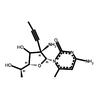 CC#C[C@@]1(N)C(O)[C@@H]([C@@H](C)O)O[C@H]1n1c(C)cc(N)nc1=O